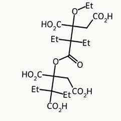 CCOC(CC(=O)O)(C(=O)O)C(CC)(CC)C(=O)OC(CC(=O)O)(C(=O)O)C(CC)(CC)C(=O)O